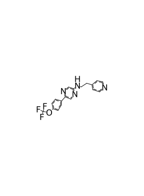 FC(F)(F)Oc1ccc(-c2cnc(NCCc3ccncc3)cn2)cc1